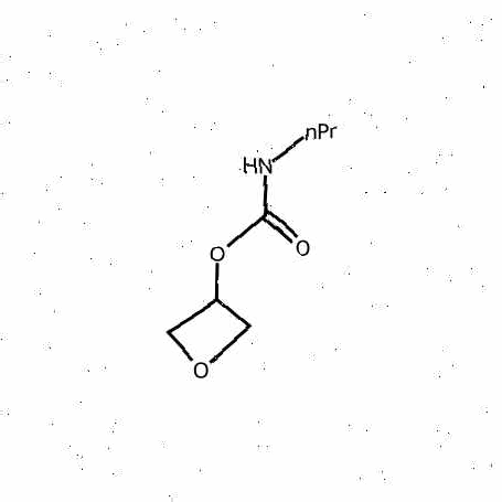 CCCNC(=O)OC1COC1